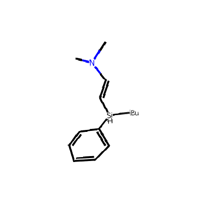 CCC(C)[SiH](C=CN(C)C)c1ccccc1